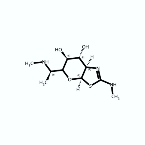 CNC1=N[C@@H]2[C@@H](O)[C@H](O)C([C@@H](C)NC)O[C@@H]2S1